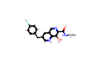 CONC(=O)c1ncc2cc(Cc3ccc(F)cc3)cnc2c1O